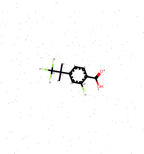 CC(C)(c1ccc(C(=O)O)c(F)c1)C(F)(F)F